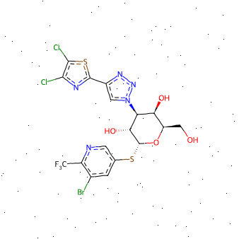 OC[C@H]1O[C@H](Sc2cnc(C(F)(F)F)c(Br)c2)[C@H](O)[C@@H](n2cc(-c3nc(Cl)c(Cl)s3)nn2)[C@H]1O